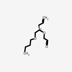 C=CC[C@H](COCCCC)OCC=O